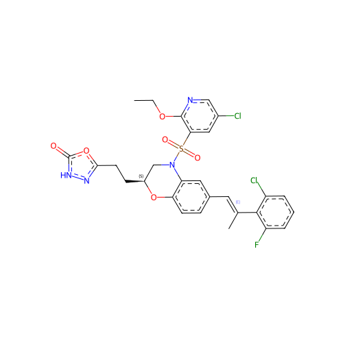 CCOc1ncc(Cl)cc1S(=O)(=O)N1C[C@H](CCc2n[nH]c(=O)o2)Oc2ccc(/C=C(\C)c3c(F)cccc3Cl)cc21